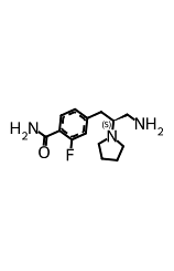 NC[C@H](Cc1ccc(C(N)=O)c(F)c1)N1CCCC1